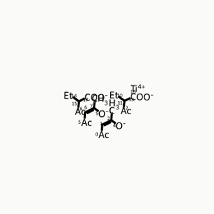 CC(=O)/C=C(/C)[O-].CC(=O)/C=C(/C)[O-].CCC(C(C)=O)C(=O)[O-].CCC(C(C)=O)C(=O)[O-].[Ti+4]